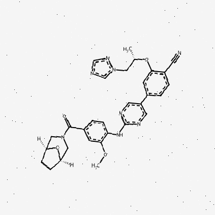 COc1cc(C(=O)N2C[C@H]3CC[C@@H](C2)O3)ccc1Nc1ncc(-c2ccc(C#N)c(O[C@@H](C)Cn3cncn3)c2)cn1